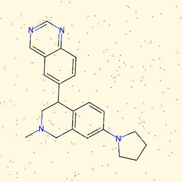 CN1Cc2cc(N3CCCC3)ccc2C(c2ccc3ncncc3c2)C1